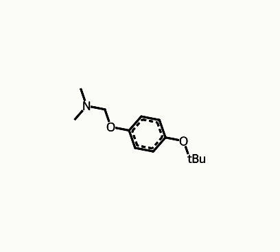 CN(C)COc1ccc(OC(C)(C)C)cc1